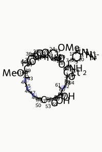 CCO[C@@H]1C[C@@H]([C@H](N)C[C@@H]2CCC(N=[N+]=[N-])[C@H](OC)C2)OC(=O)[C@@H]2CCCCN2C(=O)C(=O)[C@]2(O)O[C@@H](CC[C@H]2C)C[C@H](OC)/C(C)=C/C=C/C=C/[C@@H](C)C[C@@H](C)C(=O)[C@H](O)[C@H](O)/C(C)=C/[C@H]1C